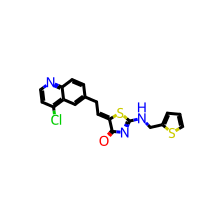 O=C1N=C(NCc2cccs2)S/C1=C\Cc1ccc2nccc(Cl)c2c1